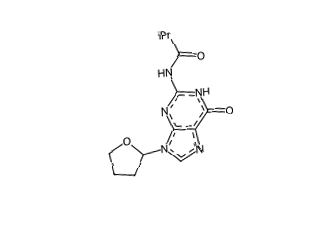 CC(C)C(=O)Nc1nc2c(ncn2C2CCCO2)c(=O)[nH]1